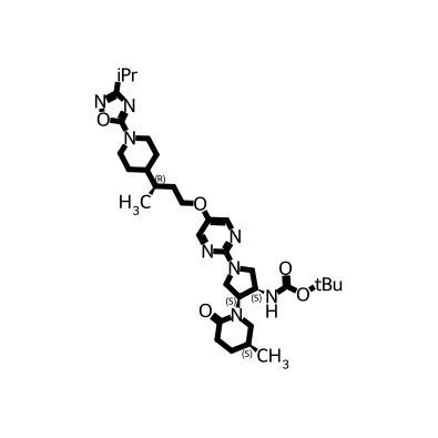 CC(C)c1noc(N2CCC([C@H](C)CCOc3cnc(N4C[C@H](NC(=O)OC(C)(C)C)[C@@H](N5C[C@@H](C)CCC5=O)C4)nc3)CC2)n1